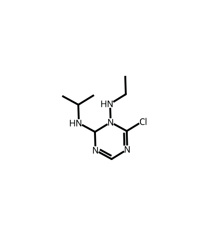 CCNN1C(Cl)=NC=NC1NC(C)C